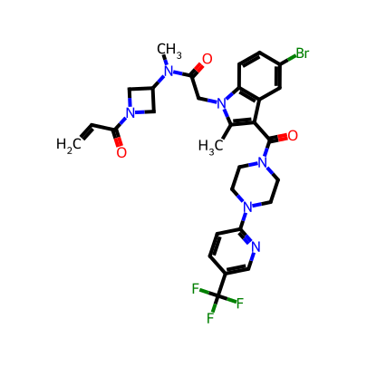 C=CC(=O)N1CC(N(C)C(=O)Cn2c(C)c(C(=O)N3CCN(c4ccc(C(F)(F)F)cn4)CC3)c3cc(Br)ccc32)C1